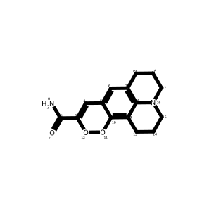 NC(=O)C1=Cc2cc3c4c(c2OO1)CCCN4CCC3